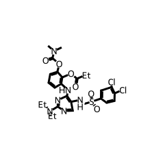 CCC(=O)Oc1c(Nc2nc(N(CC)CC)ncc2NCS(=O)(=O)c2ccc(Cl)c(Cl)c2)cccc1OC(=O)N(C)C